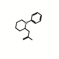 C=C(C)CC1CCCCN1c1ccccc1